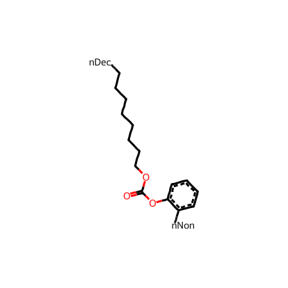 CCCCCCCCCCCCCCCCCCOC(=O)Oc1ccccc1CCCCCCCCC